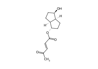 CC(=O)/C=C/C(=O)O[C@H]1CC[C@H]2[C@@H]1CC[C@H]2O